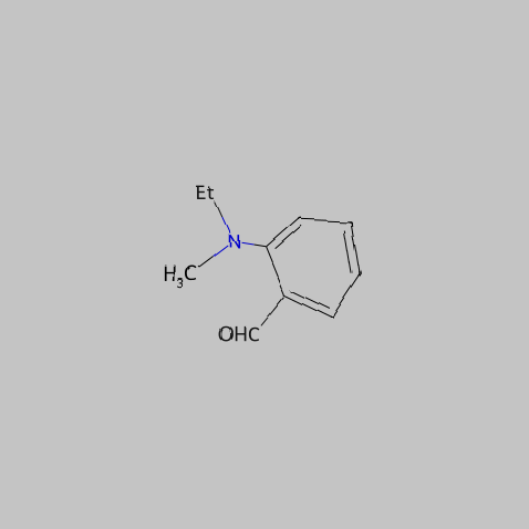 CCN(C)c1ccccc1C=O